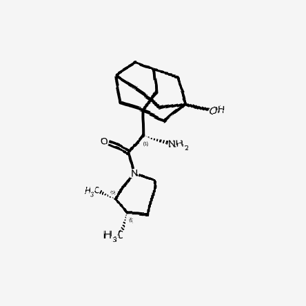 C[C@H]1CCN(C(=O)[C@@H](N)C23CC4CC(CC(O)(C4)C2)C3)[C@H]1C